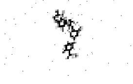 C[C@H](c1ccc(Oc2ccc(F)c(C(=O)O)c2)cc1Cl)[C@@](O)(c1ccc2c(c1)N(C)C(=O)CO2)C(F)(F)F